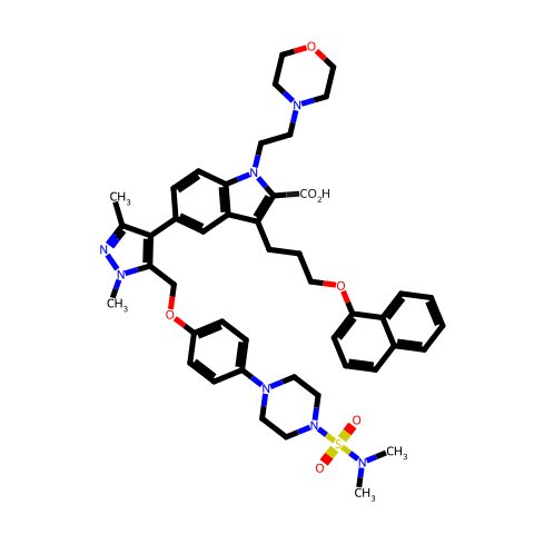 Cc1nn(C)c(COc2ccc(N3CCN(S(=O)(=O)N(C)C)CC3)cc2)c1-c1ccc2c(c1)c(CCCOc1cccc3ccccc13)c(C(=O)O)n2CCN1CCOCC1